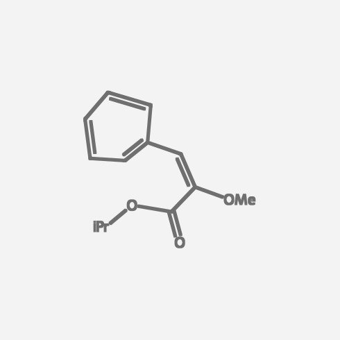 COC(=Cc1ccccc1)C(=O)OC(C)C